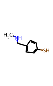 CNCc1ccc(S)cc1